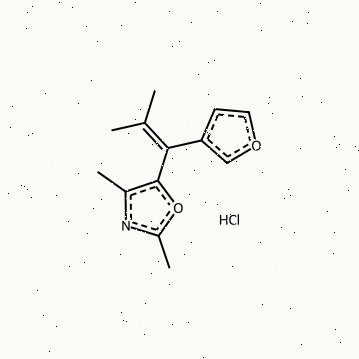 CC(C)=C(c1ccoc1)c1oc(C)nc1C.Cl